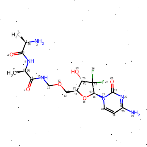 C[C@@H](N)C(=O)N[C@H](C)C(=O)NCOC[C@@H]1O[C@H](n2ccc(N)nc2=O)C(F)(F)[C@H]1O